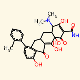 Cc1ccccc1-c1ccc(O)c2c1CC1CC3C(N(C)C)C(O)=C(C(N)=O)C(=O)C3(O)C(O)=C1C2=O